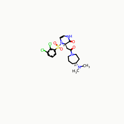 CN(C)[C@@H]1CCCN(C(=O)C[C@@H]2C(=O)NC=CN2S(=O)(=O)c2cccc(Cl)c2Cl)CC1